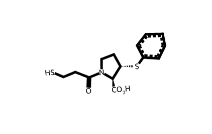 O=C(O)[C@@H]1[C@@H](Sc2ccccc2)CCN1C(=O)CCS